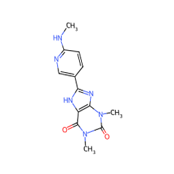 CNc1ccc(-c2nc3c([nH]2)c(=O)n(C)c(=O)n3C)cn1